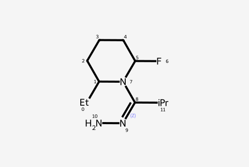 CCC1CCCC(F)N1/C(=N\N)C(C)C